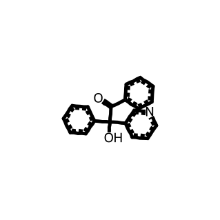 O=C(c1ccccc1)C(O)(c1ccccc1)c1cccnc1